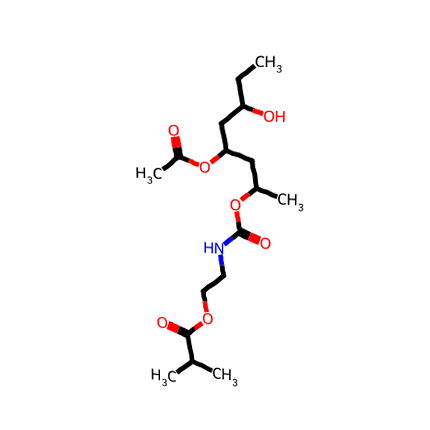 CCC(O)CC(CC(C)OC(=O)NCCOC(=O)C(C)C)OC(C)=O